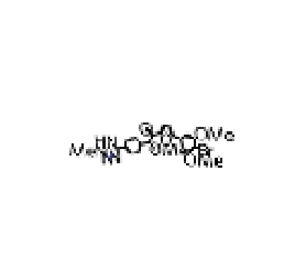 CN/N=N\C(=N)c1ccc(C(OC)C(=O)c2ccc(-c3cc(OC)c(Br)c(OC)c3)o2)cc1